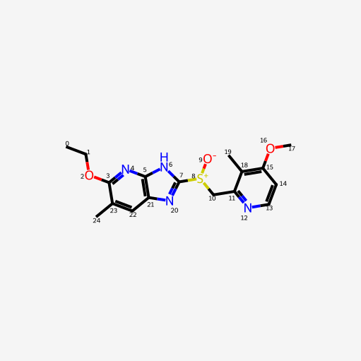 CCOc1nc2[nH]c([S+]([O-])Cc3nccc(OC)c3C)nc2cc1C